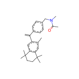 C=C(c1ccc(CN(C)C(C)=O)cc1)c1cc2c(cc1C)C(C)(C)CCC2(C)C